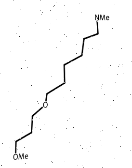 CNCCCCCCOCCCOC